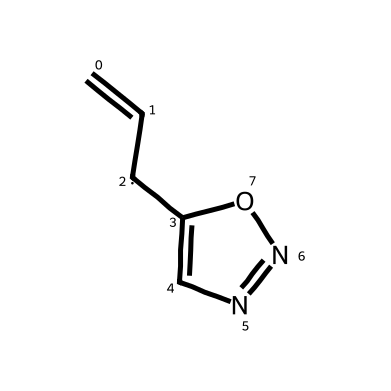 C=C[CH]c1cnno1